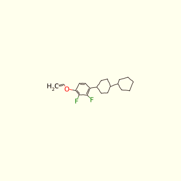 C=COc1ccc(C2CCC(C3CCCCC3)CC2)c(F)c1F